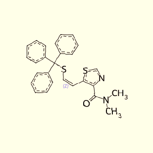 CN(C)C(=O)c1ncsc1/C=C\SC(c1ccccc1)(c1ccccc1)c1ccccc1